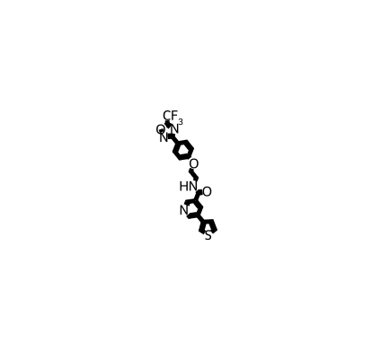 O=C(NCCOc1ccc(-c2noc(C(F)(F)F)n2)cc1)c1cncc(-c2ccsc2)c1